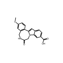 COc1ccc2c(c1)CNC(=O)Cn1c-2cc2ccc(C(=O)O)cc21